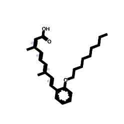 CCCCCCCCCOc1ccccc1/C=C/C(C)=C/C=C/C(C)=C\C(=O)O